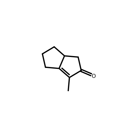 CC1=C2CCCC2CC1=O